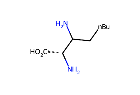 CCCCCC(N)[C@H](N)C(=O)O